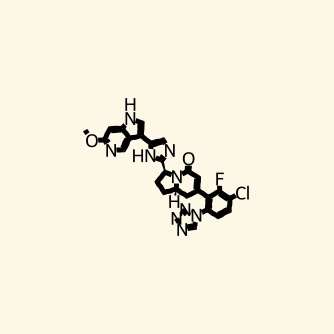 COc1cc2[nH]cc(-c3cnc([C@@H]4CC[C@@H]5CC(c6c(-n7cnnn7)ccc(Cl)c6F)=CC(=O)N54)[nH]3)c2cn1